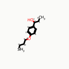 CCC(O)c1ccc(OCCC[SiH3])cc1